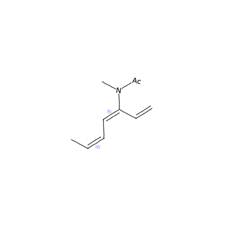 C=C/C(=C\C=C/C)N(C)C(C)=O